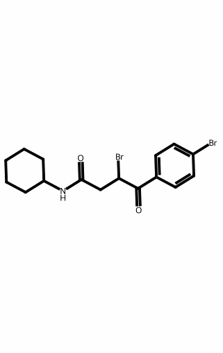 O=C(CC(Br)C(=O)c1ccc(Br)cc1)NC1CCCCC1